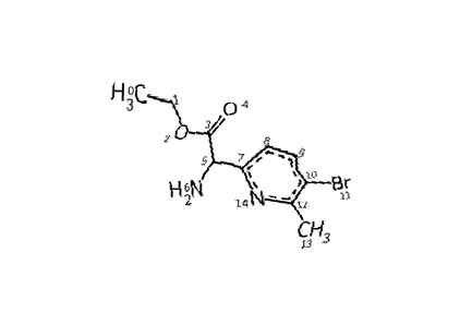 CCOC(=O)C(N)c1ccc(Br)c(C)n1